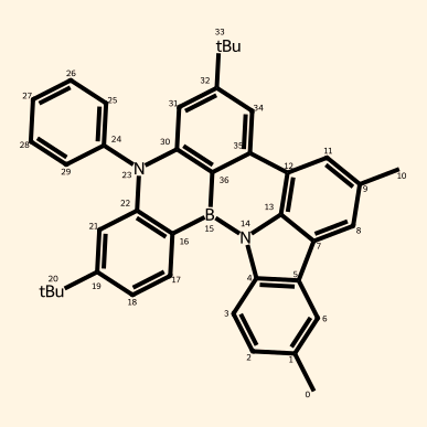 Cc1ccc2c(c1)c1cc(C)cc3c1n2B1c2ccc(C(C)(C)C)cc2N(c2ccccc2)c2cc(C(C)(C)C)cc-3c21